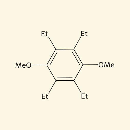 CCc1c(CC)c(OC)c(CC)c(CC)c1OC